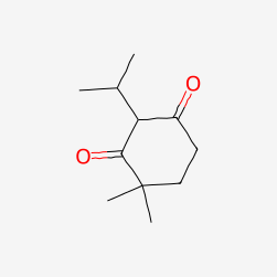 CC(C)C1C(=O)CCC(C)(C)C1=O